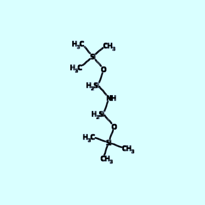 C[Si](C)(C)O[SiH2]N[SiH2]O[Si](C)(C)C